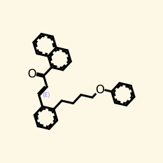 O=C(/C=C/c1ccccc1CCCCOc1ccccc1)c1cccc2ccccc12